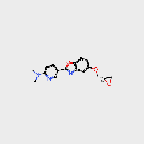 CN(C)c1ccc(-c2nc3cc(OC[C@@H]4CO4)ccc3o2)cn1